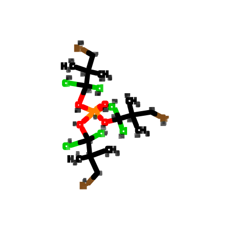 CC(C)(CBr)C(Cl)(Cl)OP(=O)(OC(Cl)(Cl)C(C)(C)CBr)OC(Cl)(Cl)C(C)(C)CBr